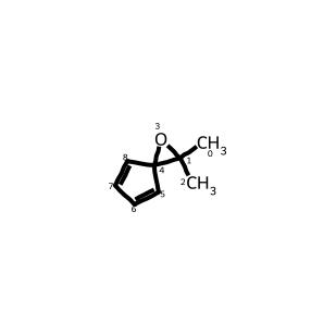 CC1(C)OC12C=CC=C2